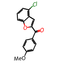 COc1ccc(C(=O)c2cc3c(Cl)cccc3o2)cc1